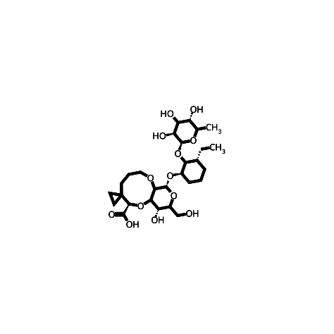 CC[C@@H]1CCC[C@@H](O[C@@H]2OC(CO)[C@H](O)C3O[C@@H](C(=O)O)C4(CCCOC32)CC4)C1O[C@@H]1OC(C)[C@@H](O)C(O)[C@@H]1O